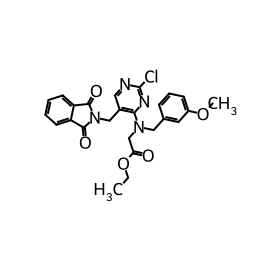 CCOC(=O)CN(Cc1cccc(OC)c1)c1nc(Cl)ncc1CN1C(=O)c2ccccc2C1=O